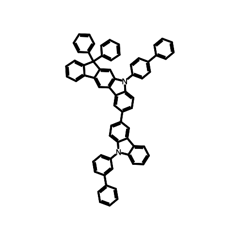 c1ccc(-c2ccc(-n3c4ccc(-c5ccc6c(c5)c5ccccc5n6-c5cccc(-c6ccccc6)c5)cc4c4cc5c(cc43)C(c3ccccc3)(c3ccccc3)c3ccccc3-5)cc2)cc1